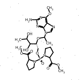 COC(=O)C1CCCN1P(=O)(OC[C@@H](OC(C)n1cnc2c(OC)nc(N)nc21)C(O)C(C)O)N1CCCC1C(=O)OC